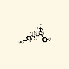 O=C(NCc1oc(C(F)(F)F)nc1-c1cccc(Cl)c1)Nc1ccc(CCO)nc1